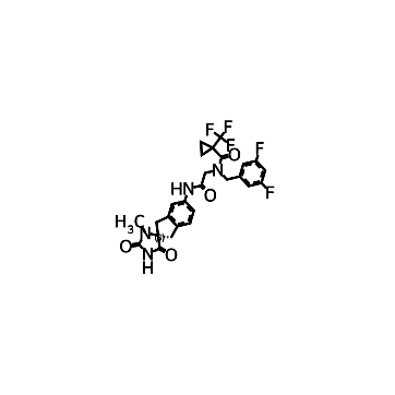 CN1C(=O)NC(=O)[C@@]12Cc1ccc(NC(=O)CN(Cc3cc(F)cc(F)c3)C(=O)C3(C(F)(F)F)CC3)cc1C2